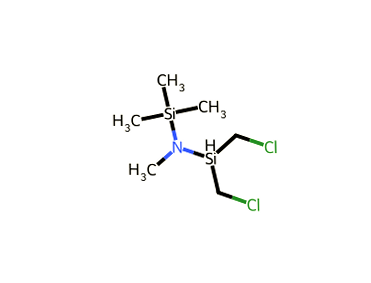 CN([SiH](CCl)CCl)[Si](C)(C)C